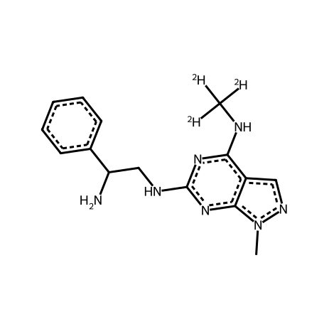 [2H]C([2H])([2H])Nc1nc(NCC(N)c2ccccc2)nc2c1cnn2C